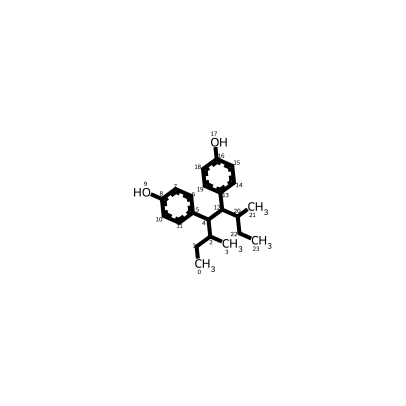 CCC(C)C(c1ccc(O)cc1)C(c1ccc(O)cc1)C(C)CC